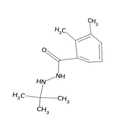 Cc1cccc(C(=O)NNC(C)(C)C)c1C